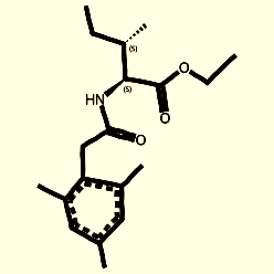 CCOC(=O)[C@@H](NC(=O)Cc1c(C)cc(C)cc1C)[C@@H](C)CC